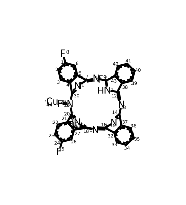 Fc1ccc2c(c1)/C1=N/C3(F)N\C(=N/C4=N\C(=N/c5[nH]c(c6ccc(F)cc56)N(F)C2=N1)c1ccccc14)c1ccccc13.[Cu]